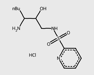 CCCCC(N)C(O)CNS(=O)(=O)c1ccccn1.Cl